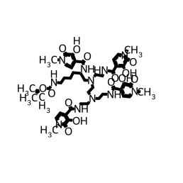 Cn1ccc(C(=O)NCCN(CCNC(=O)c2ccn(C)c(=O)c2O)CCN(CCNC(=O)c2ccn(C)c(=O)c2O)CC(CCCCNC(=O)OC(C)(C)C)NC(=O)c2ccn(C)c(=O)c2O)c(O)c1=O